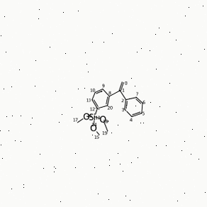 C=C(c1ccccc1)c1cccc([Si](OC)(OC)OC)c1